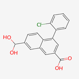 O=C(O)c1cc(-c2ccccc2Cl)c2ccc(C(O)O)cc2c1